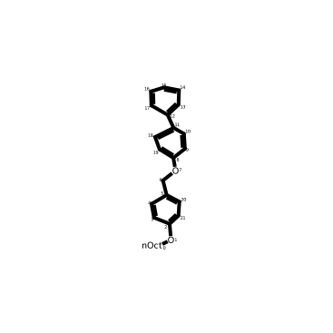 CCCCCCCCOc1ccc(COc2ccc(-c3ccccc3)cc2)cc1